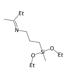 CCO[Si](C)(CCC/N=C(/C)CC)OCC